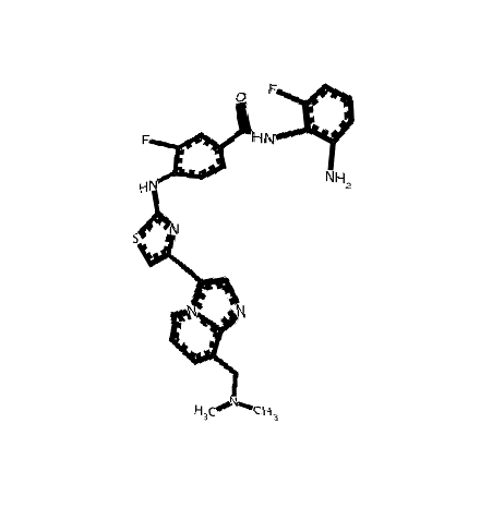 CN(C)Cc1cccn2c(-c3csc(Nc4ccc(C(=O)Nc5c(N)cccc5F)cc4F)n3)cnc12